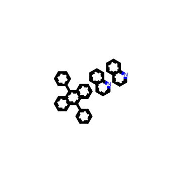 c1ccc(-c2c3ccccc3c(-c3ccccc3)c3ccccc23)cc1.c1ccc2ncccc2c1.c1ccc2ncccc2c1